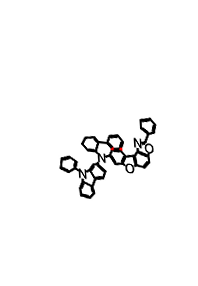 C1=C(c2ccccc2)C(N(c2ccc3c(c2)oc2ccc4oc(-c5ccccc5)nc4c23)c2ccc3c4ccccc4n(-c4ccccc4)c3c2)=CCC1